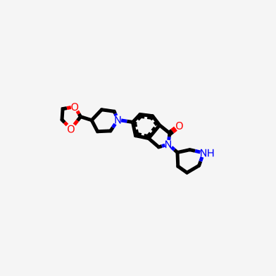 O=C1c2ccc(N3CCC(C4OCCO4)CC3)cc2CN1C1CCCNC1